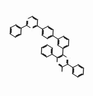 Clc1nc(-c2ccccc2)c(-c2cccc(-c3ccc(-c4ccnc(-c5ccccc5)n4)cc3)c2)nc1-c1ccccc1